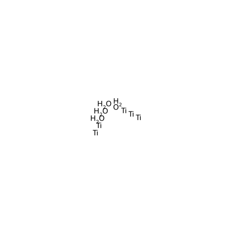 O.O.O.O.[Ti].[Ti].[Ti].[Ti].[Ti]